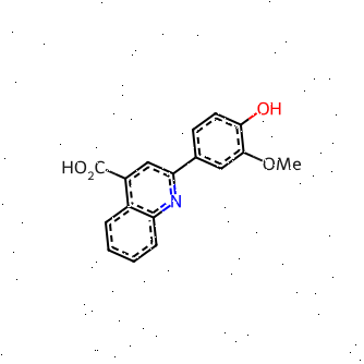 COc1cc(-c2cc(C(=O)O)c3ccccc3n2)ccc1O